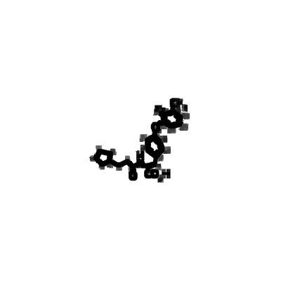 O=C(CCC1CCCC1)NC(=Cc1ccc(Oc2cccc(C(F)(F)F)c2F)cc1)C(=O)O